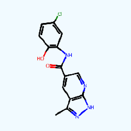 Cc1n[nH]c2ncc(C(=O)Nc3cc(Cl)ccc3O)cc12